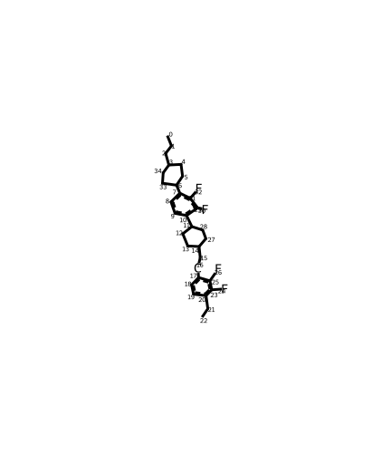 CCCC1CCC(c2ccc(C3CCC(CCc4ccc(CC)c(F)c4F)CC3)c(F)c2F)CC1